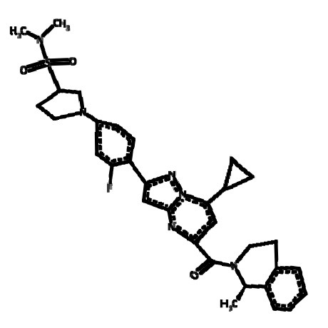 C[C@@H]1c2ccccc2CCN1C(=O)c1cc(C2CC2)n2nc(-c3ccc(N4CCC(S(=O)(=O)N(C)C)C4)cc3F)cc2n1